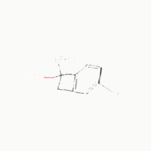 CCCCCC1(O)Cc2cc(Br)ccc21